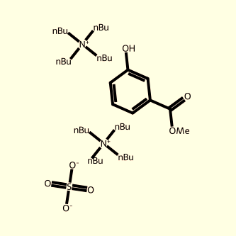 CCCC[N+](CCCC)(CCCC)CCCC.CCCC[N+](CCCC)(CCCC)CCCC.COC(=O)c1cccc(O)c1.O=S(=O)([O-])[O-]